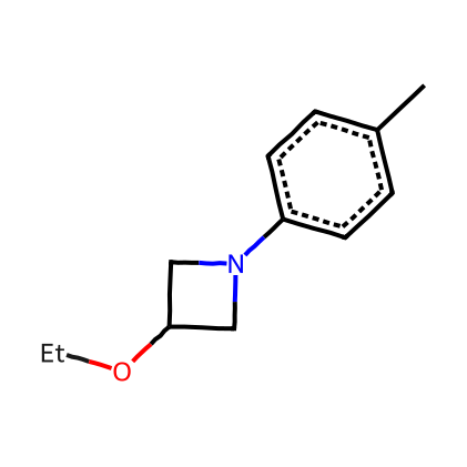 CCOC1CN(c2ccc(C)cc2)C1